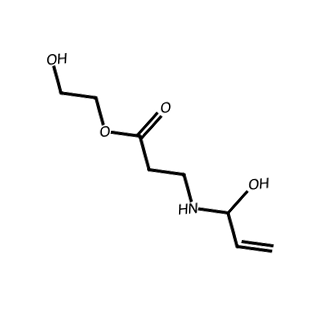 C=CC(O)NCCC(=O)OCCO